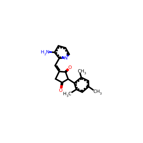 Cc1cc(C)c(C2C(=O)CC(=Cc3ncccc3N)C2=O)c(C)c1